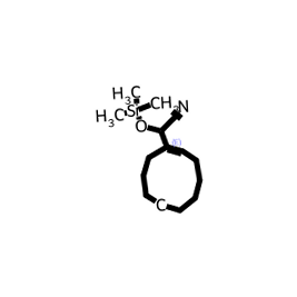 C[Si](C)(C)OC(C#N)/C1=C/CCCCCCCC1